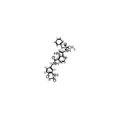 C=S(=O)(Cc1ccccc1)Nc1c[nH]c2c(C(=O)NCc3ccc4c(c3)NC(=O)CO4)ncnc12